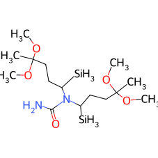 COC(C)(CCC([SiH3])N(C(N)=O)C([SiH3])CCC(C)(OC)OC)OC